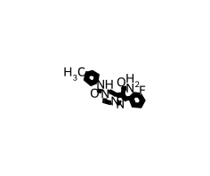 Cc1ccc(NC(=O)N2CCn3nc(-c4cccc(F)c4)c(C(N)=O)c3C2)cc1